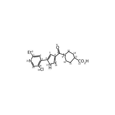 CCc1cc(-c2cc(C(=O)N3CCC(C(=O)O)CC3)n[nH]2)c(Cl)cn1